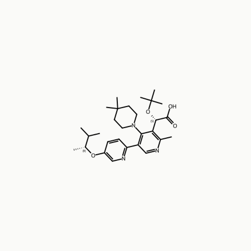 Cc1ncc(-c2ccc(O[C@H](C)C(C)C)cn2)c(N2CCC(C)(C)CC2)c1[C@H](OC(C)(C)C)C(=O)O